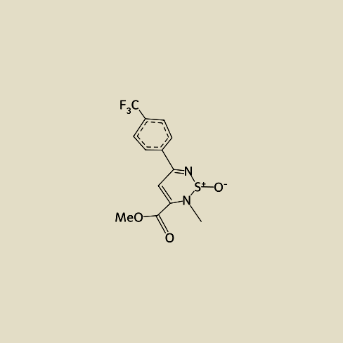 COC(=O)C1=CC(c2ccc(C(F)(F)F)cc2)=N[S+]([O-])N1C